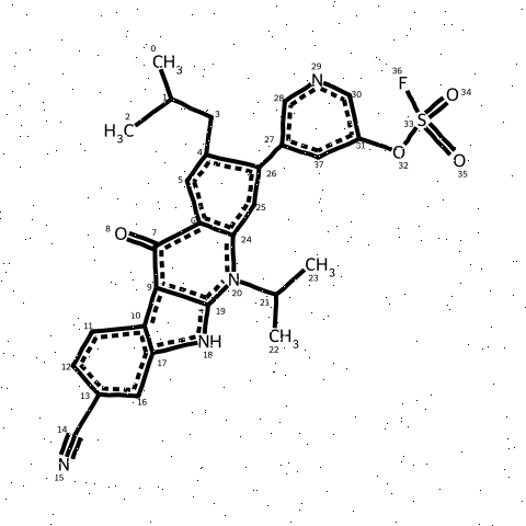 CC(C)Cc1cc2c(=O)c3c4ccc(C#N)cc4[nH]c3n(C(C)C)c2cc1-c1cncc(OS(=O)(=O)F)c1